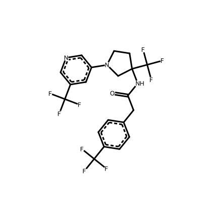 O=C(Cc1ccc(C(F)(F)F)cc1)NC1(C(F)(F)F)CCN(c2cncc(C(F)(F)F)c2)C1